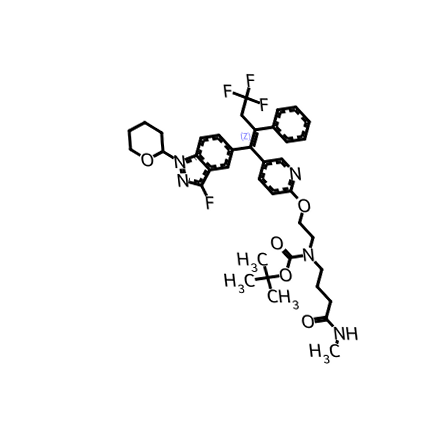 CNC(=O)CCCN(CCOc1ccc(/C(=C(/CC(F)(F)F)c2ccccc2)c2ccc3c(c2)c(F)nn3C2CCCCO2)cn1)C(=O)OC(C)(C)C